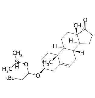 C[SiH](C)OC(CC(C)(C)C)O[C@H]1CC[C@@]2(C)C(=CC[C@@H]3[C@@H]2CC[C@]2(C)C(=O)CC[C@@H]32)C1